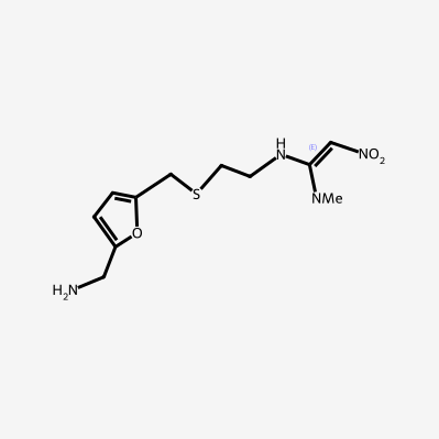 CN/C(=C\[N+](=O)[O-])NCCSCc1ccc(CN)o1